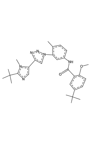 COc1ccc(C(C)(C)C)cc1C(=O)Nc1ccc(C)c(-n2cc(-c3cnc(C(C)(C)C)n3C)nn2)c1